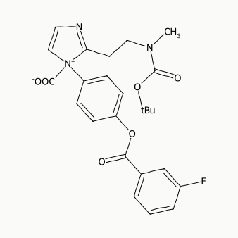 CN(CCC1=NC=C[N+]1(C(=O)[O-])c1ccc(OC(=O)c2cccc(F)c2)cc1)C(=O)OC(C)(C)C